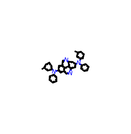 Cc1cccc(N(c2ccccc2)c2cc3cnc4cc(N(c5ccccc5)c5cccc(C)c5)cc5ncc(c2)c3c45)c1